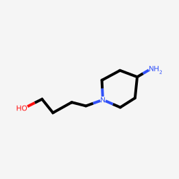 NC1CCN(CCCCO)CC1